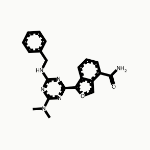 CN(C)c1nc(NCc2ccccc2)nc(-c2occ3c(C(N)=O)cccc23)n1